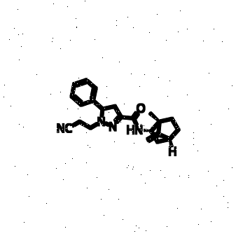 C=C1[C@@H]2CC[C@@]1(C)[C@@H](NC(=O)C1=NN(CCC#N)C(c3ccccc3)C1)C2